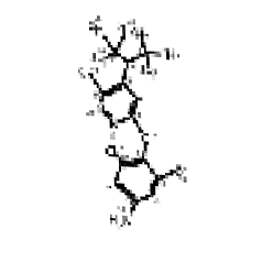 [2H]C([2H])([2H])C(c1cc(Oc2c(Cl)cc(N)cc2Br)nnc1Cl)C([2H])([2H])[2H]